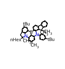 CCCCCCC1(C)Cc2cc(C(C)(C)C)cc3c2N1c1cc(C)cc2c1B3c1ccc3c(c1N2c1ccc(C(C)(C)C)cc1)C(C)(C)c1ccccc1-3